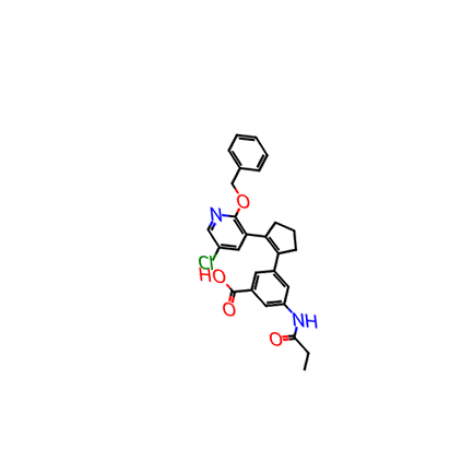 CCC(=O)Nc1cc(C(=O)O)cc(C2=C(c3cc(Cl)cnc3OCc3ccccc3)CCC2)c1